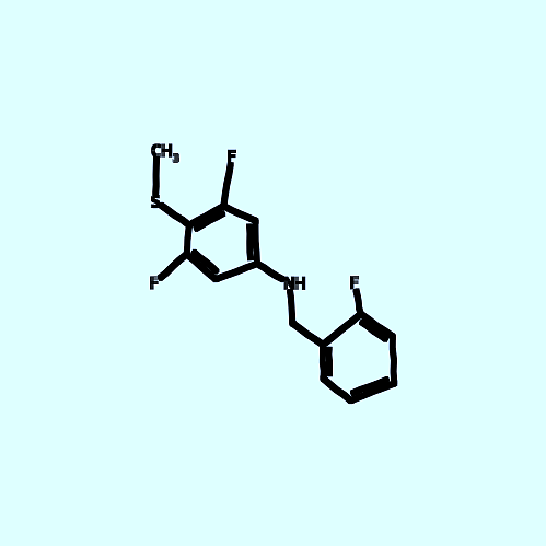 CSc1c(F)cc(NCc2ccccc2F)cc1F